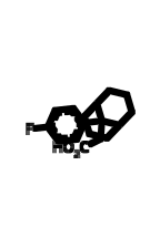 O=C(O)CC1(c2ccc(F)cc2)C2CCCC1CCC2